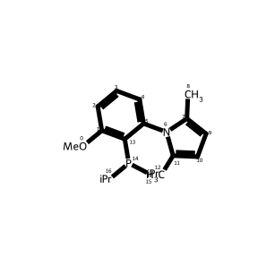 COc1cccc(-n2c(C)ccc2C)c1P(C(C)C)C(C)C